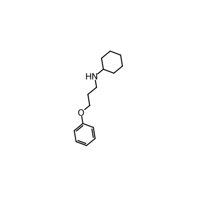 c1ccc(OCCCNC2CCCCC2)cc1